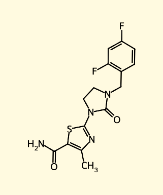 Cc1nc(N2CCN(Cc3ccc(F)cc3F)C2=O)sc1C(N)=O